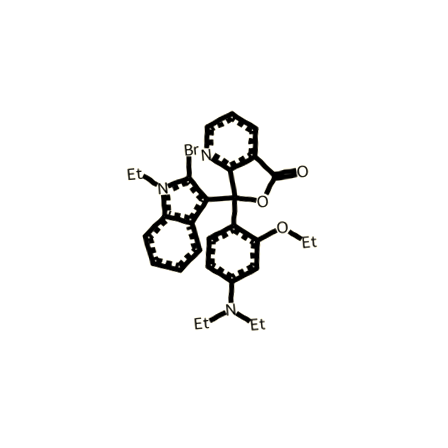 CCOc1cc(N(CC)CC)ccc1C1(c2c(Br)n(CC)c3ccccc23)OC(=O)c2cccnc21